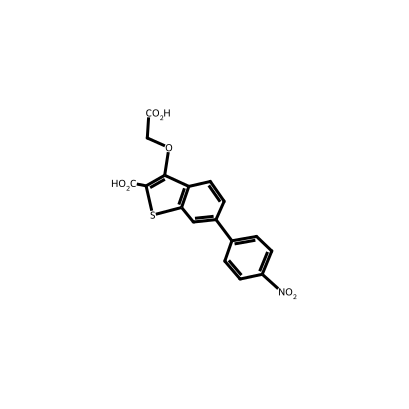 O=C(O)COc1c(C(=O)O)sc2cc(-c3ccc([N+](=O)[O-])cc3)ccc12